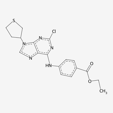 CCOC(=O)c1ccc(Nc2nc(Cl)nc3c2ncn3C2CCSC2)cc1